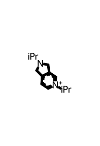 CC(C)N1Cc2cc[n+](C(C)C)cc2C1